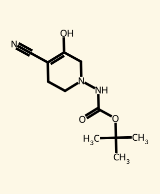 CC(C)(C)OC(=O)NN1CCC(C#N)=C(O)C1